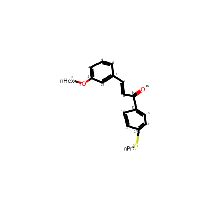 CCCCCCOc1cccc(C=CC(=O)c2ccc(SCCC)cc2)c1